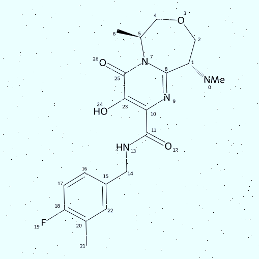 CN[C@H]1COC[C@H](C)n2c1nc(C(=O)NCc1ccc(F)c(C)c1)c(O)c2=O